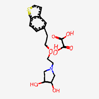 O=C(O)C(=O)O.OC1CN(CCOCCc2ccc3sccc3c2)CC1O